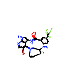 Cl.NC1CCCN(c2c(Br)cnc3[nH]cc(NC(=O)c4cccc(C(F)(F)F)c4)c23)C1